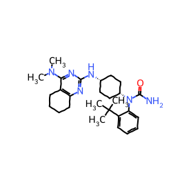 CN(C)c1nc(N[C@H]2CC[C@@H](N(C(N)=O)c3ccccc3C(C)(C)C)CC2)nc2c1CCCC2